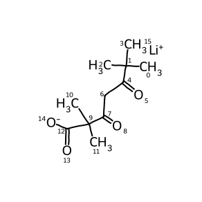 CC(C)(C)C(=O)CC(=O)C(C)(C)C(=O)[O-].[Li+]